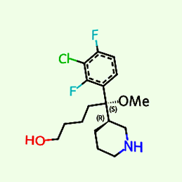 CO[C@](CCCCO)(c1ccc(F)c(Cl)c1F)[C@@H]1CCCNC1